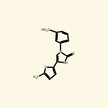 Cc1ccc(-c2cn(-c3cccc(C(=O)O)c3)c(=S)[nH]2)o1